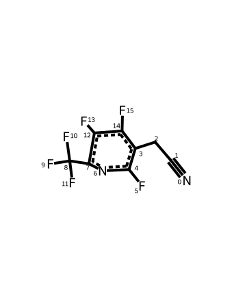 N#CCc1c(F)nc(C(F)(F)F)c(F)c1F